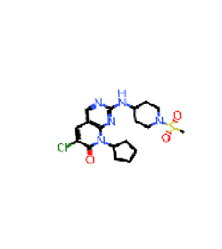 CS(=O)(=O)N1CCC(Nc2ncc3cc(Cl)c(=O)n(C4CCCC4)c3n2)CC1